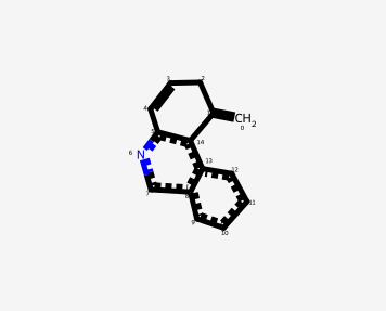 C=C1CC=Cc2ncc3ccccc3c21